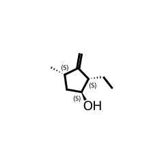 C=C1[C@@H](C)C[C@H](O)[C@H]1CC